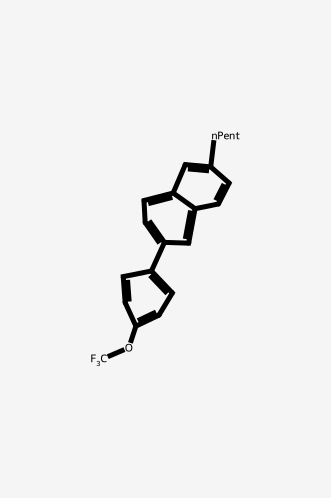 CCCCCc1ccc2cc(-c3ccc(OC(F)(F)F)cc3)ccc2c1